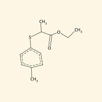 CCOC(=O)C(C)Sc1ccc(C)cc1